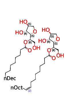 CCCCCCCC/C=C\CCCCCCCC(=O)O[C@H](CO)[C@H]1OC[C@H](O)[C@H]1O.CCCCCCCCCCCCCCCCCC(=O)O[C@H](CO)[C@H]1OC[C@H](O)[C@H]1O